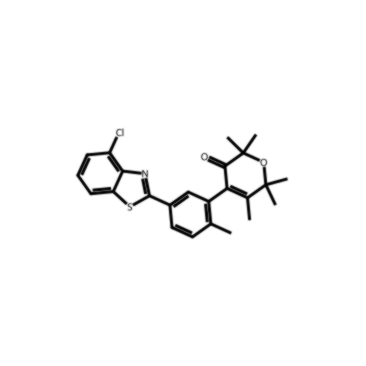 CC1=C(c2cc(-c3nc4c(Cl)cccc4s3)ccc2C)C(=O)C(C)(C)OC1(C)C